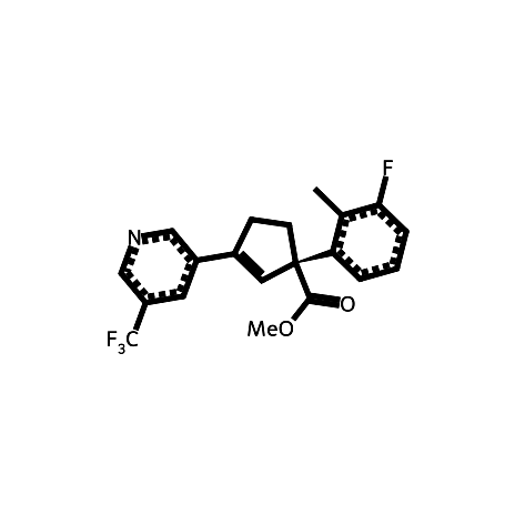 COC(=O)[C@]1(c2cccc(F)c2C)C=C(c2cncc(C(F)(F)F)c2)CC1